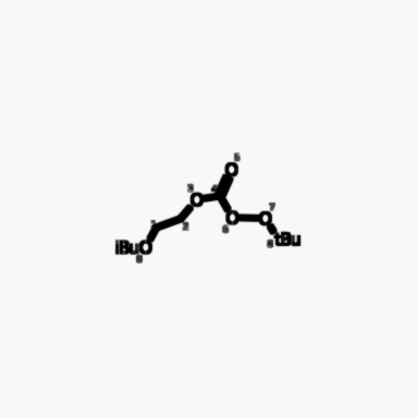 CC(C)COCCOC(=O)OOC(C)(C)C